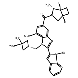 CCn1c(-c2nc3cc(C(=O)N4C[C@H]5CC[C@H]5[C@H]4N)cc(OC)c3n2C[C@H]2C[C@](C)(OC)C2)cc2cccnc21